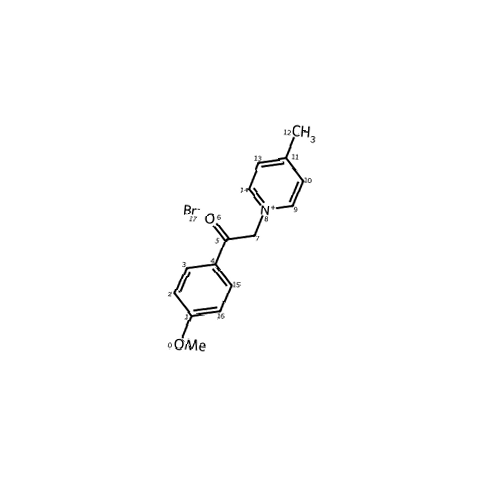 COc1ccc(C(=O)C[n+]2ccc(C)cc2)cc1.[Br-]